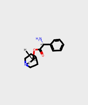 N[C@@H](C(=O)O[C@H]1CN2CCC1CC2)c1ccccc1